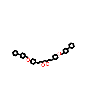 O=C(C=Cc1ccc(OCc2ccc(-c3ccccc3)cc2)cc1)CC(=O)C=Cc1ccc(OCc2ccc(-c3ccccc3)cc2)cc1